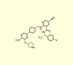 C[C@H](NC(=O)c1cc(C#N)cnc1NCc1ccc(-c2cnc(N)c(OC3CCNC3)n2)cc1)c1ccc(F)cc1